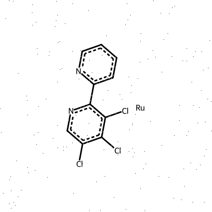 Clc1cnc(-c2ccccn2)c(Cl)c1Cl.[Ru]